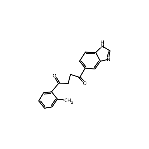 Cc1ccccc1C(=O)CCC(=O)c1ccc2[nH]cnc2c1